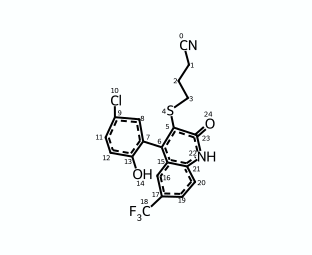 N#CCCCSc1c(-c2cc(Cl)ccc2O)c2cc(C(F)(F)F)ccc2[nH]c1=O